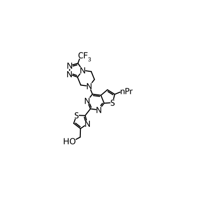 CCCc1cc2c(N3CCn4c(nnc4C(F)(F)F)C3)nc(-c3nc(CO)cs3)nc2s1